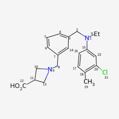 CCN(Cc1cccc(CN2CC(C(=O)O)C2)c1)c1ccc(C)c(Cl)c1